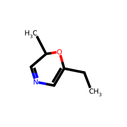 CCC1=CN=CC(C)O1